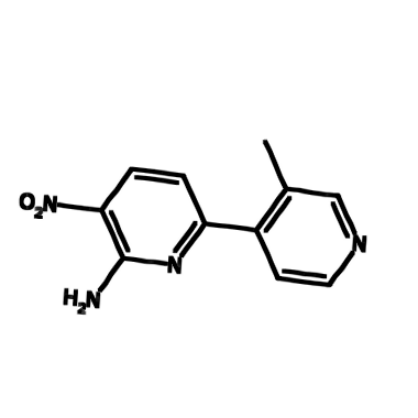 Cc1cnccc1-c1ccc([N+](=O)[O-])c(N)n1